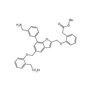 CCOC(=O)Cc1ccccc1OCc1cc(-c2cccc(CN)c2)c2oc(COc3ccccc3CC(=O)OC(C)(C)C)cc2c1